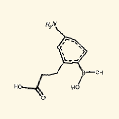 Nc1ccc(B(O)O)c(CCC(=O)O)c1